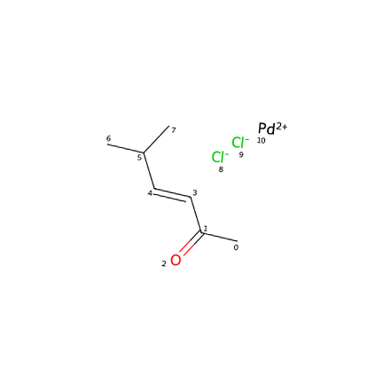 CC(=O)C=CC(C)C.[Cl-].[Cl-].[Pd+2]